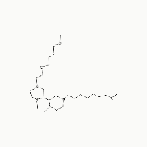 COCCCCCCCN1CCN(C)C(C2CN(CCOCCCCOC)CCN2C)C1